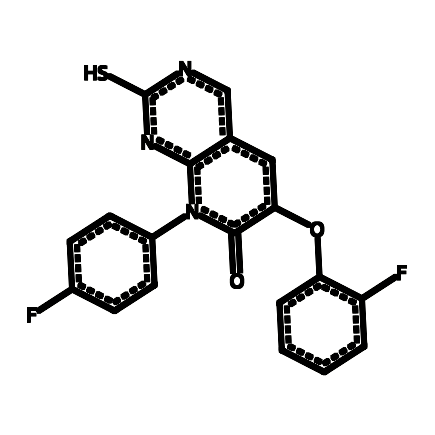 O=c1c(Oc2ccccc2F)cc2cnc(S)nc2n1-c1ccc(F)cc1